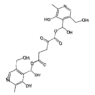 Cc1ncc(CO)c(C(O)OC(=O)CCC(=O)C(=O)OC(O)c2c(CO)cnc(C)c2O)c1O